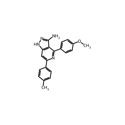 COc1ccc(-c2nc(-c3ccc(C)cc3)cc3[nH]nc(N)c23)cc1